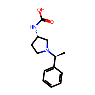 C[C@@H](c1ccccc1)N1CC[C@H](NC(=O)O)C1